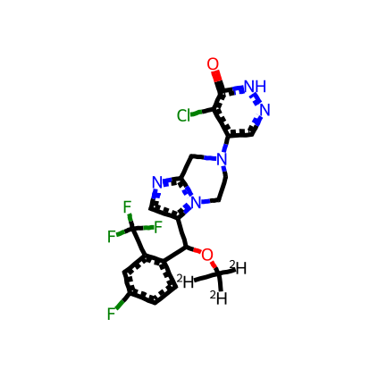 [2H]C([2H])([2H])OC(c1ccc(F)cc1C(F)(F)F)c1cnc2n1CCN(c1cn[nH]c(=O)c1Cl)C2